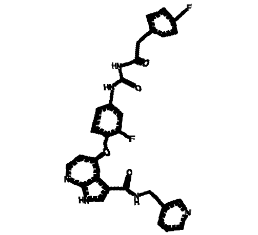 O=C(Cc1ccc(F)cc1)NC(=O)Nc1ccc(Oc2ccnc3[nH]cc(C(=O)NCc4cccnc4)c23)c(F)c1